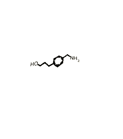 NCc1ccc(CCCO)cc1